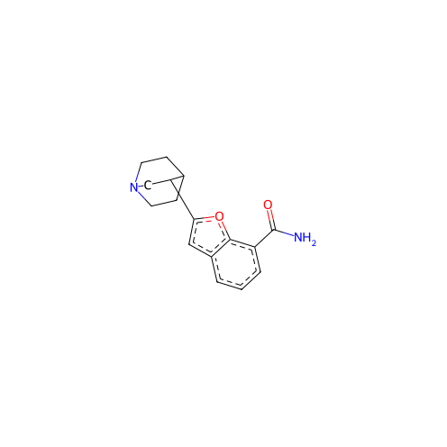 NC(=O)c1cccc2cc(C3CN4CCC3CC4)oc12